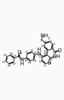 NCc1ccc2c(=O)[nH]c3nccc(Nc4ccc(NC(=O)c5ccccc5)cc4)c3c2c1